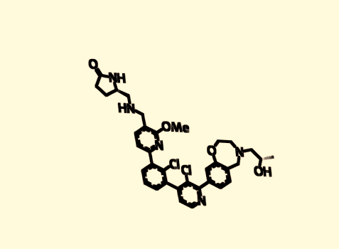 COc1nc(-c2cccc(-c3ccnc(-c4ccc5c(c4)OCCN(C[C@H](C)O)C5)c3Cl)c2Cl)ccc1CNC[C@H]1CCC(=O)N1